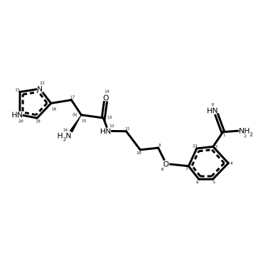 N=C(N)c1cccc(OCCCNC(=O)[C@@H](N)Cc2c[nH]cn2)c1